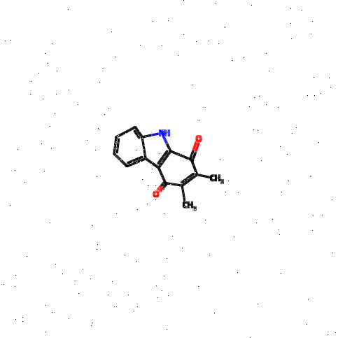 CC1=C(C)C(=O)c2c([nH]c3ccccc23)C1=O